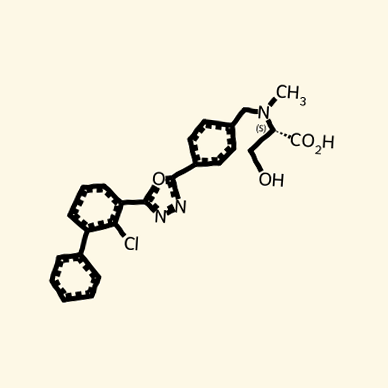 CN(Cc1ccc(-c2nnc(-c3cccc(-c4ccccc4)c3Cl)o2)cc1)[C@@H](CO)C(=O)O